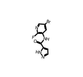 O=C(Nc1cc(Br)cnc1F)c1ccn[nH]1